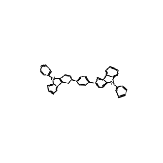 C1=CC(c2ccc(-c3ccc4c(c3)c3ccccc3n4-c3ccccc3)cc2)Cc2c1n(-c1ccccc1)c1ccccc21